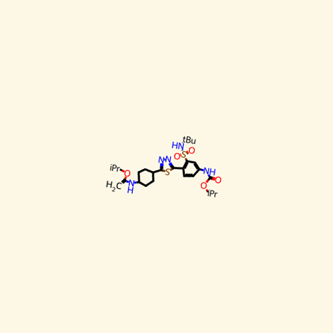 C=C(NC1CCC(c2nnc(-c3ccc(NC(=O)OC(C)C)cc3S(=O)(=O)NC(C)(C)C)s2)CC1)OC(C)C